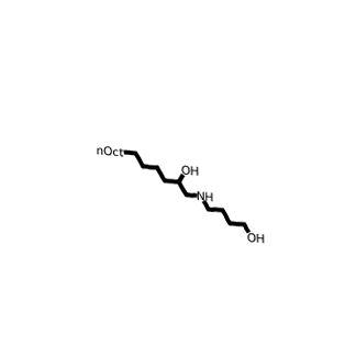 CCCCCCCCCCCCC(O)CNCCCCO